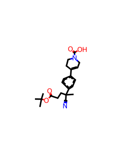 CC(C)(C)OC(=O)CCC(C)(C#N)c1ccc(C2=CCN(C(=O)O)CC2)cc1